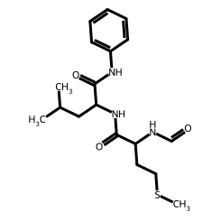 CSCCC(NC=O)C(=O)NC(CC(C)C)C(=O)Nc1ccccc1